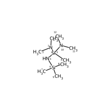 CN(C)[Si](C)(N[Si](C)(C)C)N(C)C